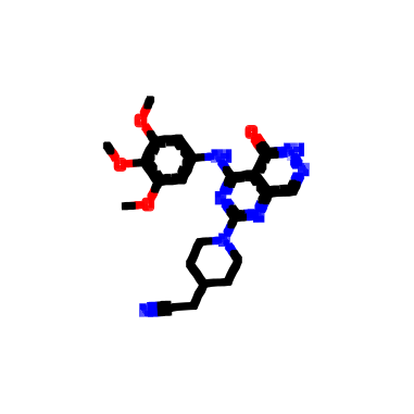 COc1cc(Nc2nc(N3CCC(CC#N)CC3)nc3cn[nH]c(=O)c23)cc(OC)c1OC